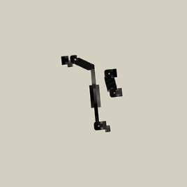 C#C.C=CC#CC